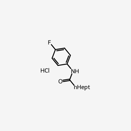 CCCCCCCC(=O)Nc1ccc(F)cc1.Cl